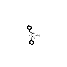 O=P([SeH])([Se]Cc1ccccc1)[Se]Cc1ccccc1